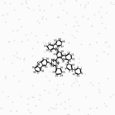 c1ccc(-c2cccc(-c3cccc4c3sc3c(-c5nc(-c6ccccc6)nc(-c6ccc7sc8ccccc8c7c6)n5)cc(-n5c6ccccc6c6ccccc65)cc34)c2)cc1